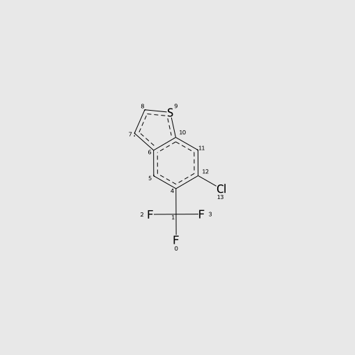 FC(F)(F)c1cc2[c]csc2cc1Cl